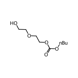 CCCCOC(=O)OCCOCCO